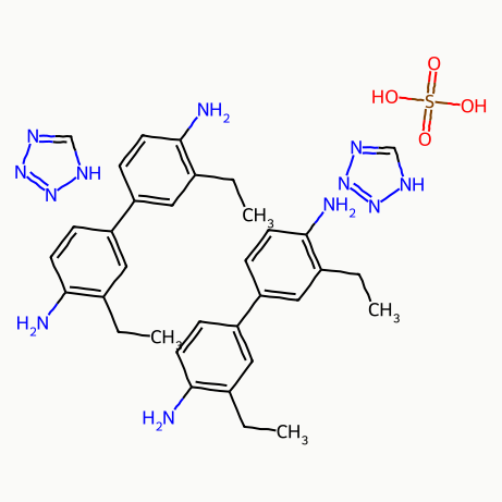 CCc1cc(-c2ccc(N)c(CC)c2)ccc1N.CCc1cc(-c2ccc(N)c(CC)c2)ccc1N.O=S(=O)(O)O.c1nnn[nH]1.c1nnn[nH]1